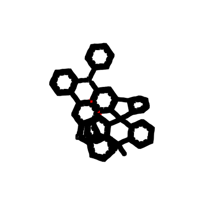 CC1(C)c2ccccc2C2(c3ccccc3-c3cc(N(c4ccccc4)c4ccccc4-c4ccc5c(c4)oc4ccccc45)ccc32)c2ccccc21